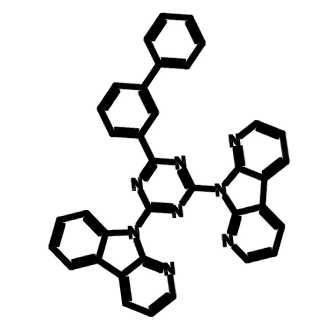 c1ccc(-c2cccc(-c3nc(-n4c5ccccc5c5cccnc54)nc(-n4c5ncccc5c5cccnc54)n3)c2)cc1